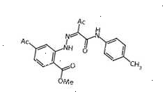 COC(=O)c1ccc(C(C)=O)cc1N/N=C(/C(C)=O)C(=O)Nc1ccc(C)cc1